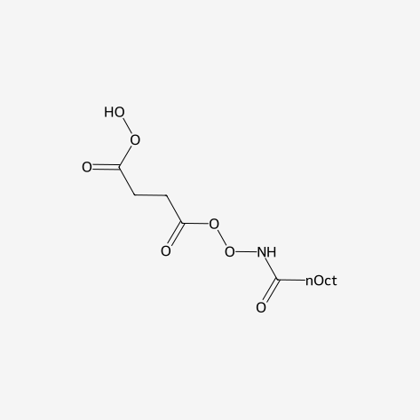 CCCCCCCCC(=O)NOOC(=O)CCC(=O)OO